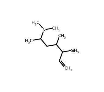 C=CC([SiH3])C(C)CC(C)N(C)C